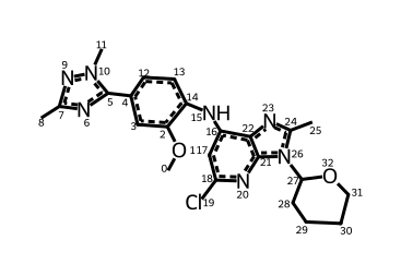 COc1cc(-c2nc(C)nn2C)ccc1Nc1cc(Cl)nc2c1nc(C)n2C1CCCCO1